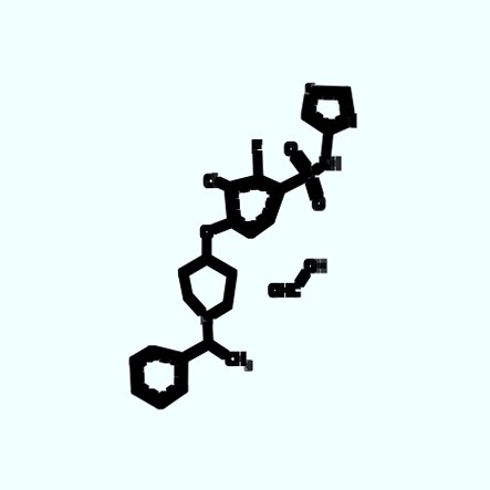 CC(c1ccccc1)N1CCC(Oc2ccc(S(=O)(=O)Nc3cscn3)c(F)c2Cl)CC1.O=CO